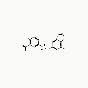 Cc1cc(NS(=O)(=O)c2ccc(O)c(C(N)=O)c2)cc2nc[nH]c12